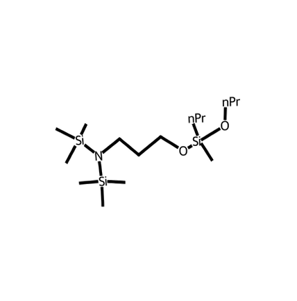 CCCO[Si](C)(CCC)OCCCN([Si](C)(C)C)[Si](C)(C)C